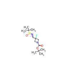 CC(C)(C)OC(=O)N1CC(F)(/C=N/[S+]([O-])C(C)(C)C)C1